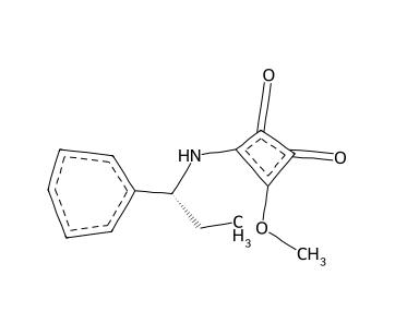 CC[C@@H](Nc1c(OC)c(=O)c1=O)c1ccccc1